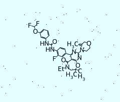 CCN1CC(C)(C)Oc2nc(N3CCOC[C@@H]3C)nc(-c3ccc(NC(=O)Nc4cccc(OC(F)F)c4)c(F)c3)c2C1=O